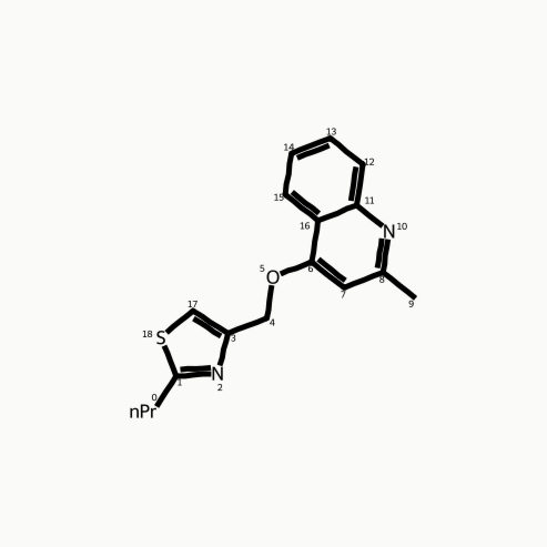 CCCc1nc(COc2cc(C)nc3ccccc23)cs1